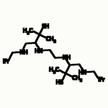 CC(C)CNCC(NCCNC(CNCC(C)C)C(C)(C)S)C(C)(C)S